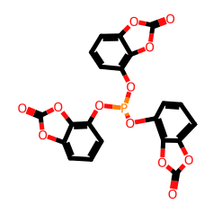 O=c1oc2cccc(OP(Oc3cccc4oc(=O)oc34)Oc3cccc4oc(=O)oc34)c2o1